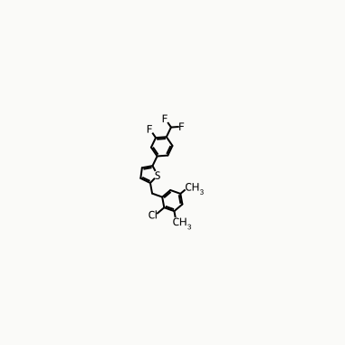 Cc1cc(C)c(Cl)c(Cc2ccc(-c3ccc(C(F)F)c(F)c3)s2)c1